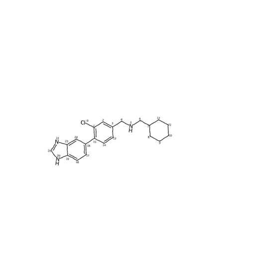 Clc1cc(CNCC2CCCCC2)ccc1-c1ccc2[nH]cnc2c1